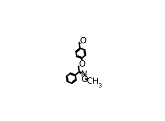 CON=C(COc1ccc(C=O)cc1)c1ccccc1